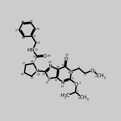 COCCn1c(OC(C)C)nc2sc(N3CCC[C@@H]3C(=O)NCc3ccccc3)nc2c1=O